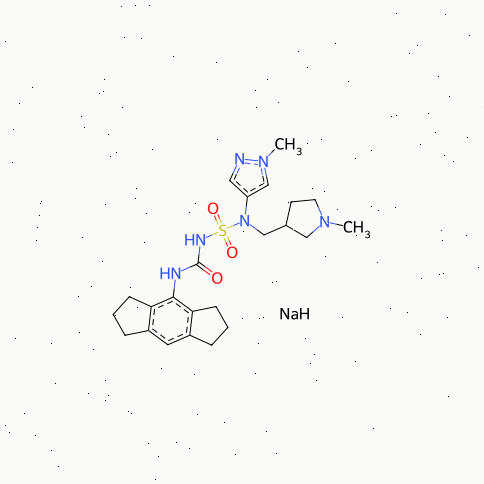 CN1CCC(CN(c2cnn(C)c2)S(=O)(=O)NC(=O)Nc2c3c(cc4c2CCC4)CCC3)C1.[NaH]